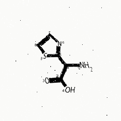 NC(C(=O)O)c1nccs1